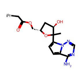 CC(C)CC(=O)OC[C@@H]1C[C@@H](O)C(C)(c2ccc3c(N)ncnn23)O1